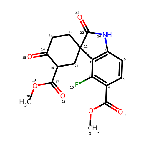 COC(=O)c1ccc2c(c1F)C1(CCC(=O)C(C(=O)OC)C1)C(=O)N2